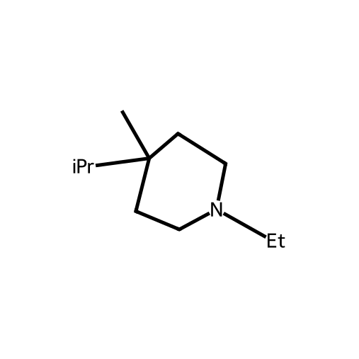 CCN1CCC(C)(C(C)C)CC1